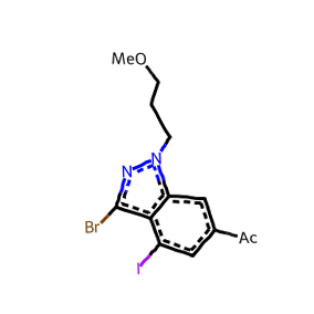 COCCCn1nc(Br)c2c(I)cc(C(C)=O)cc21